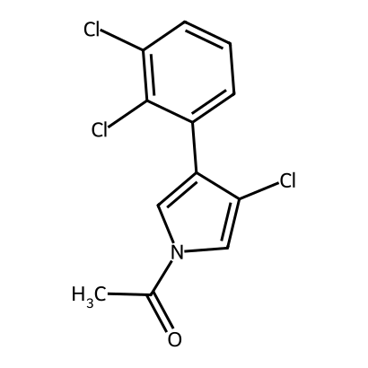 CC(=O)n1cc(Cl)c(-c2cccc(Cl)c2Cl)c1